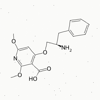 COc1cc(OC[C@H](N)Cc2ccccc2)c(C(=O)O)c(OC)n1